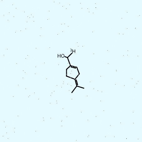 [2H]C(O)C1=CCC(=C(C)C)CC1